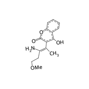 COCC/C(N)=C(\C)c1c(O)c2ccccc2oc1=O